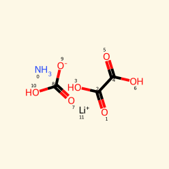 N.O=C(O)C(=O)O.O=C([O-])O.[Li+]